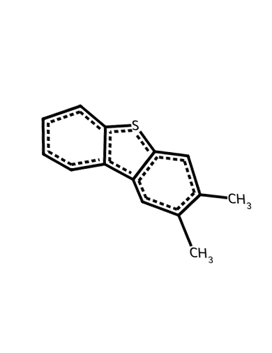 Cc1cc2sc3ccccc3c2cc1C